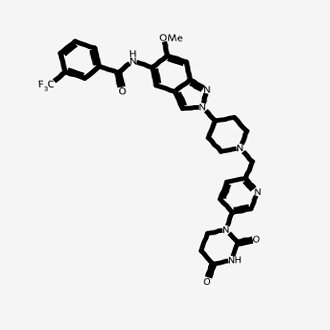 COc1cc2nn(C3CCN(Cc4ccc(N5CCC(=O)NC5=O)cn4)CC3)cc2cc1NC(=O)c1cccc(C(F)(F)F)c1